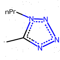 [CH2]c1nnnn1CCC